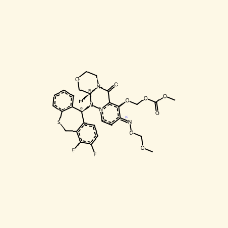 COCO/N=c1\ccn2c(c1OCOC(=O)OC)C(=O)N1CCOC[C@H]1N2[C@@H]1c2ccccc2SCc2c1ccc(F)c2F